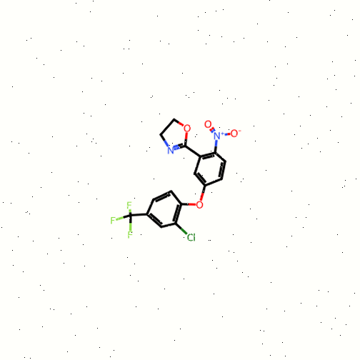 O=[N+]([O-])c1ccc(Oc2ccc(C(F)(F)F)cc2Cl)cc1C1=NCCO1